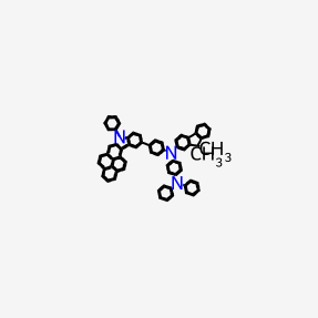 CC1(C)c2ccccc2-c2ccc(N(c3ccc(-c4ccc5c(c4)c4c6ccc7cccc8ccc(cc4n5-c4ccccc4)c6c87)cc3)c3ccc(N(c4ccccc4)c4ccccc4)cc3)cc21